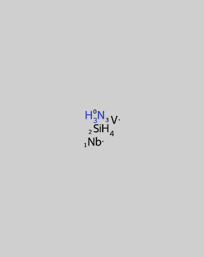 N.[Nb].[SiH4].[V]